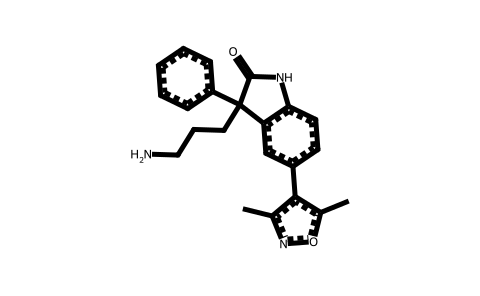 Cc1noc(C)c1-c1ccc2c(c1)C(CCCN)(c1ccccc1)C(=O)N2